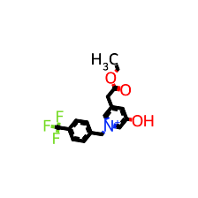 CCOC(=O)Cc1cc(O)c[n+](Cc2ccc(C(F)(F)F)cc2)c1